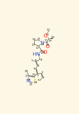 C\C=C/C(=C\C=C(/C)CNC(=O)C1CCCN1C(=O)[C@H](C)OC)c1scnc1C